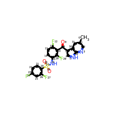 Cc1cnc2[nH]cc(C(=O)c3c(F)ccc(NS(=O)(=O)c4ccc(F)cc4F)c3F)c2c1